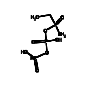 BP(=O)(CC)OP(=O)(O)O[PH](=O)O